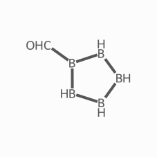 O=CB1BBBB1